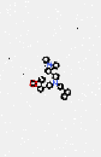 c1ccc(-c2ccccc2-c2c(-c3ccccc3)cccc2-c2ccc(N(c3ccc(-c4cccc5ccccc45)cc3)c3cccc(-c4cccc5c4c4ccccc4n5-c4ccccc4)c3)cc2)cc1